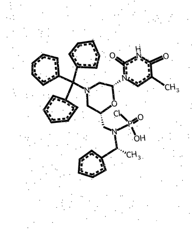 Cc1cn([C@H]2CN(C(c3ccccc3)(c3ccccc3)c3ccccc3)C[C@@H](CN([C@H](C)c3ccccc3)P(=O)(O)Cl)O2)c(=O)[nH]c1=O